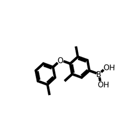 Cc1cccc(Oc2c(C)cc(B(O)O)cc2C)c1